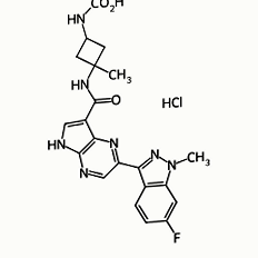 Cl.Cn1nc(-c2cnc3[nH]cc(C(=O)NC4(C)CC(NC(=O)O)C4)c3n2)c2ccc(F)cc21